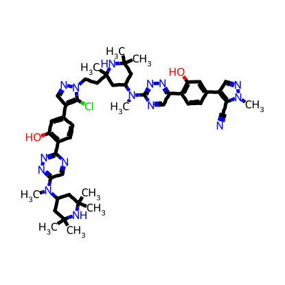 CN(c1cnc(-c2ccc(-c3cnn(CCC4(C)CC(N(C)c5ncc(-c6ccc(-c7cnn(C)c7C#N)cc6O)nn5)CC(C)(C)N4)c3Cl)cc2O)nn1)C1CC(C)(C)NC(C)(C)C1